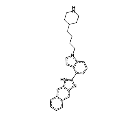 c1ccc2cc3[nH]c(-c4cccc5c4ccn5CCCCC4CCNCC4)nc3cc2c1